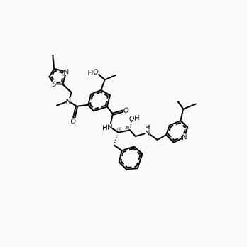 Cc1csc(CN(C)C(=O)c2cc(C(=O)N[C@@H](Cc3ccccc3)[C@H](O)CNCc3cncc(C(C)C)c3)cc(C(C)O)c2)n1